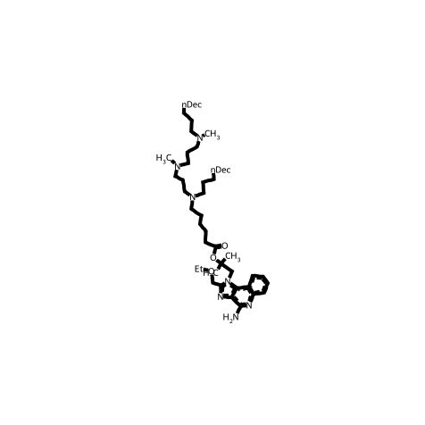 CCCCCCCCCCCCCN(C)CCCN(C)CCCN(CCCCCCCCCCCCC)CCCCCC(=O)OC(C)(C)Cn1c(COCC)nc2c(N)nc3ccccc3c21